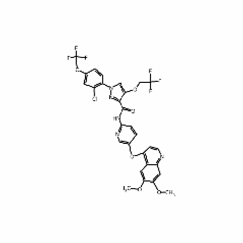 COc1cc2nccc(Oc3ccc(NC(=O)c4nn(-c5ccc(OC(F)(F)F)cc5Cl)cc4OCC(F)(F)F)nc3)c2cc1OC